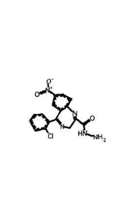 NNC(=O)C1=Nc2ccc([N+](=O)[O-])cc2C(c2ccccc2Cl)=NC1